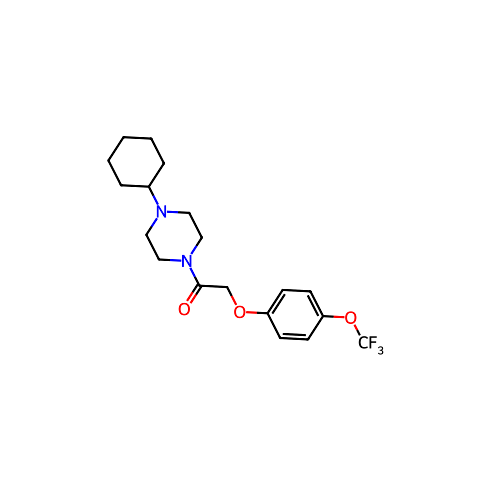 O=C(COc1ccc(OC(F)(F)F)cc1)N1CCN(C2CCCCC2)CC1